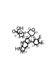 C[C@@]1(C(=O)O)C[C@@H](c2c(C3CCOCC3)n(-c3ccc(F)c(F)c3)c3cc4cn[nH]c4nc23)CO1